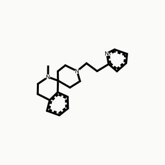 CN1CCc2ccccc2C12CCN(CCc1ccccn1)CC2